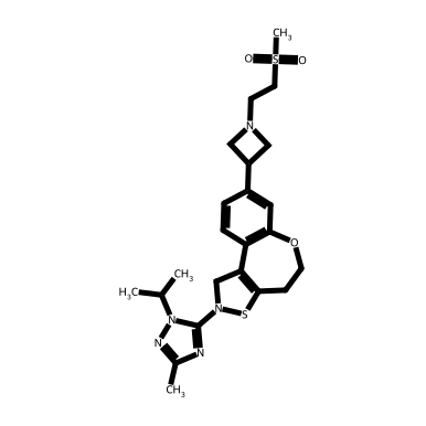 Cc1nc(N2CC3=C(CCOc4cc(C5CN(CCS(C)(=O)=O)C5)ccc43)S2)n(C(C)C)n1